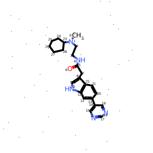 CN(CCNC(=O)Cc1c[nH]c2cc(-c3cncnc3)ccc12)C1CCCCC1